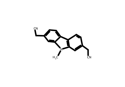 Cn1c2cc(CC#N)ccc2c2ccc(CC#N)cc21